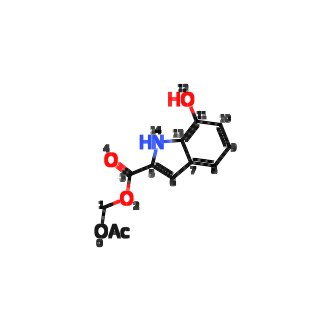 CC(=O)OCOC(=O)c1cc2cccc(O)c2[nH]1